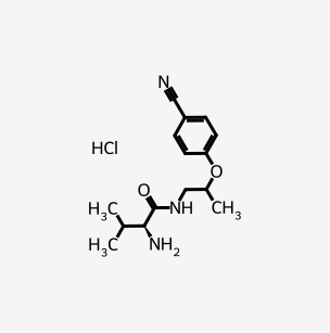 CC(CNC(=O)[C@@H](N)C(C)C)Oc1ccc(C#N)cc1.Cl